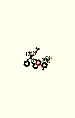 CC(C)CNC[C@@H](O)[C@H](Cc1ccccc1)N(Cc1ccccc1)Cc1ccccc1.Cc1ccc(S(=O)(=O)O)cc1